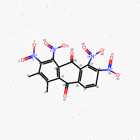 Cc1c(C)c([N+](=O)[O-])c([N+](=O)[O-])c2c1C(=O)c1ccc([N+](=O)[O-])c([N+](=O)[O-])c1C2=O